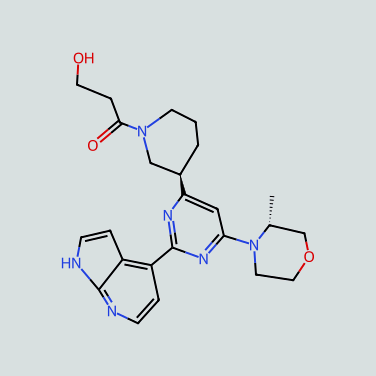 C[C@@H]1COCCN1c1cc([C@@H]2CCCN(C(=O)CCO)C2)nc(-c2ccnc3[nH]ccc23)n1